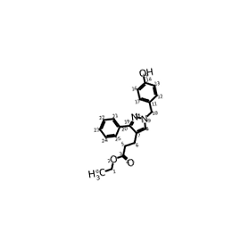 CCOC(=O)CCc1cn(Cc2ccc(O)cc2)nc1-c1ccccc1